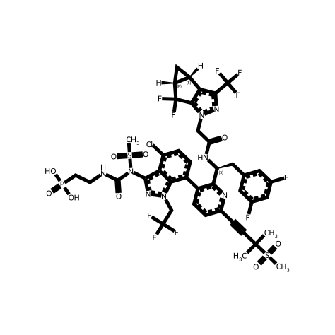 CC(C)(C#Cc1ccc(-c2ccc(Cl)c3c(N(C(=O)NCCP(=O)(O)O)S(C)(=O)=O)nn(CC(F)(F)F)c23)c([C@H](Cc2cc(F)cc(F)c2)NC(=O)Cn2nc(C(F)(F)F)c3c2C(F)(F)[C@@H]2C[C@H]32)n1)S(C)(=O)=O